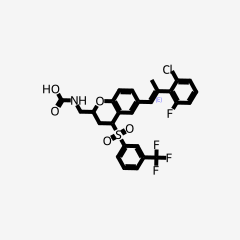 C/C(=C\c1ccc2c(c1)C(S(=O)(=O)c1cccc(C(F)(F)F)c1)CC(CNC(=O)O)O2)c1c(F)cccc1Cl